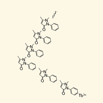 Cc1cc(=O)n(-c2ccccc2)n1C.Cc1cc(=O)n(-c2ccccc2)n1C.Cc1cc(=O)n(-c2ccccc2)n1C.Cc1cc(=O)n(-c2ccccc2)n1C.Cc1cc(=O)n(-c2ccccc2)n1C.Cc1cc(=O)n(-c2ccccc2)n1C.[I-].[I-].[I-].[Tb+3]